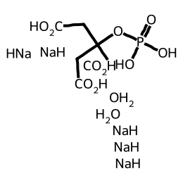 O.O.O=C(O)CC(CC(=O)O)(OP(=O)(O)O)C(=O)O.[NaH].[NaH].[NaH].[NaH].[NaH]